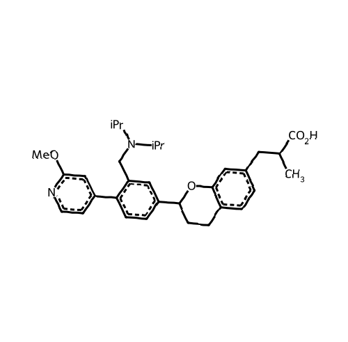 COc1cc(-c2ccc(C3CCc4ccc(CC(C)C(=O)O)cc4O3)cc2CN(C(C)C)C(C)C)ccn1